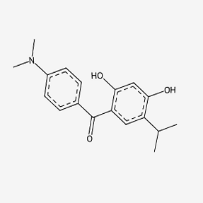 CC(C)c1cc(C(=O)c2ccc(N(C)C)cc2)c(O)cc1O